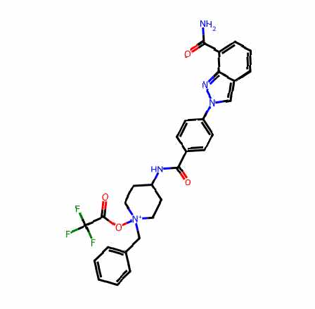 NC(=O)c1cccc2cn(-c3ccc(C(=O)NC4CC[N+](Cc5ccccc5)(OC(=O)C(F)(F)F)CC4)cc3)nc12